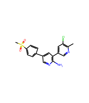 Cc1ncc(-c2cc(-c3ccc(S(C)(=O)=O)cc3)cnc2N)cc1Cl